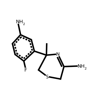 CC1(c2cc(N)ccc2F)CSCC(N)=N1